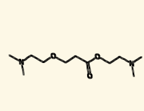 CN(C)CCOCCC(=O)OCCN(C)C